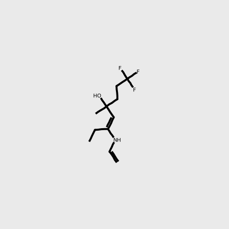 C=CN/C(=C/C(C)(O)CCC(F)(F)F)CC